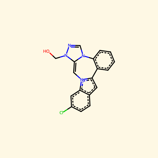 OCN1N=CN2C1=Cn1c(cc3ccc(Cl)cc31)-c1ccccc12